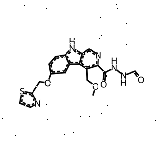 COCc1c(C(=O)NNC=O)ncc2[nH]c3ccc(OCc4nccs4)cc3c12